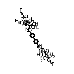 CN(C(=O)OCCF)C(C)(C)C(=O)NCc1nc(-c2ccc(-c3ccc(-c4c[nH]c(C(NC(=O)C(C)(C)N(C)C(=O)OCCF)C(C)(C)C)n4)cc3)cc2)c[nH]1